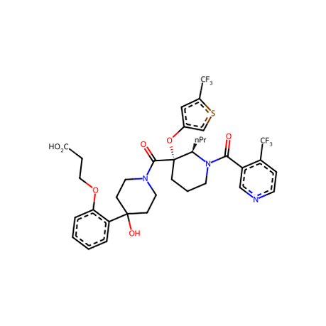 CCC[C@H]1N(C(=O)c2cnccc2C(F)(F)F)CCC[C@@]1(Oc1csc(C(F)(F)F)c1)C(=O)N1CCC(O)(c2ccccc2OCCC(=O)O)CC1